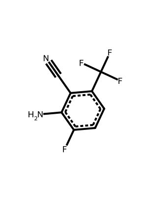 N#Cc1c(C(F)(F)F)ccc(F)c1N